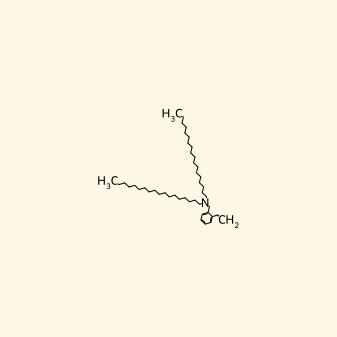 C=Cc1ccccc1CN(CCCCCCCCCCCCCCCCCC)CCCCCCCCCCCCCCCCCC